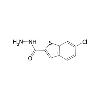 NNC(=O)c1cc2ccc(Cl)cc2s1